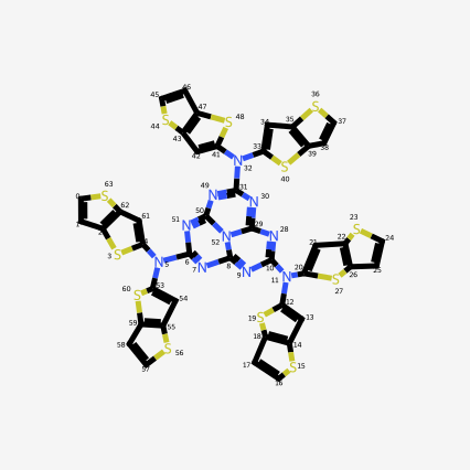 c1cc2sc(N(C3=NC4=NC(N(c5cc6sccc6s5)c5cc6sccc6s5)=NC5=NC(N(c6cc7sccc7s6)c6cc7sccc7s6)=NC(=N3)N45)c3cc4sccc4s3)cc2s1